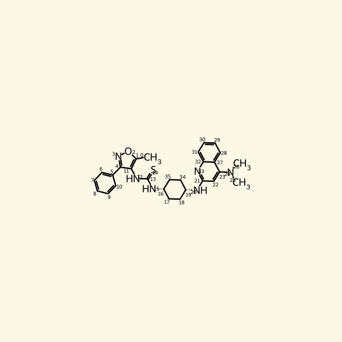 Cc1onc(-c2ccccc2)c1NC(=S)N[C@H]1CC[C@@H](Nc2cc(N(C)C)c3ccccc3n2)CC1